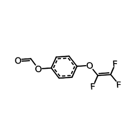 O=COc1ccc(OC(F)=C(F)F)cc1